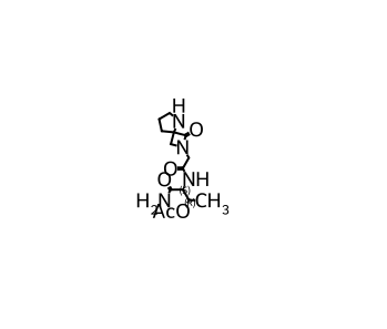 CC(=O)O[C@H](C)[C@H](NC(=O)CN1CC2(CCCN2)C1=O)C(N)=O